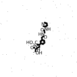 C[C@@H](O)[C@H]1C(=O)N2C(C(=O)O)=C(c3cccc(CC(=O)NCC(=O)Nc4cccnc4)c3)C[C@H]12